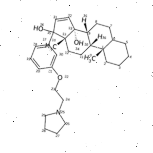 C[C@]12CCCCC1CC[C@@H]1[C@H]2CC[C@]2(C)C(O)(c3cccc(OCCN4CCCC4)c3)C=C[C@@]12O